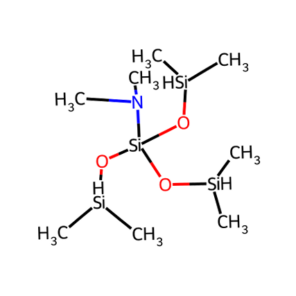 CN(C)[Si](O[SiH](C)C)(O[SiH](C)C)O[SiH](C)C